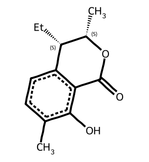 CC[C@H]1c2ccc(C)c(O)c2C(=O)O[C@H]1C